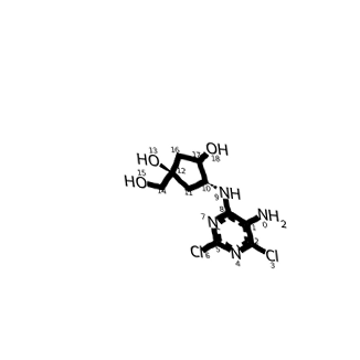 Nc1c(Cl)nc(Cl)nc1N[C@@H]1C[C@](O)(CO)CC1O